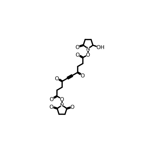 O=C(C#CC(=O)CCC(=O)ON1C(=O)CCC1O)CCC(=O)ON1C(=O)CCC1=O